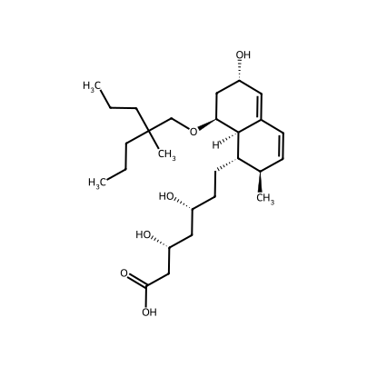 CCCC(C)(CCC)CO[C@H]1C[C@H](O)C=C2C=C[C@@H](C)[C@H](CC[C@@H](O)C[C@@H](O)CC(=O)O)[C@H]21